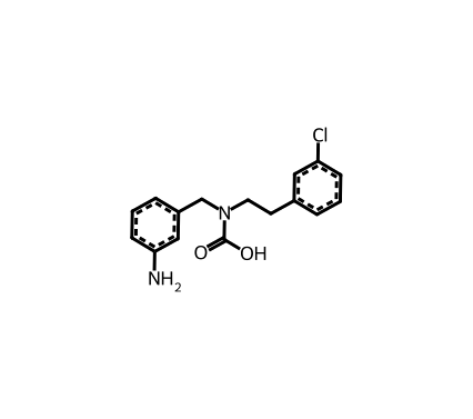 Nc1cccc(CN(CCc2cccc(Cl)c2)C(=O)O)c1